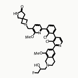 COc1cc(-c2nccc(-c3cccc(-c4ccc(CN5CC6(CNC(=O)C6)C5)c(OC)n4)c3Cl)c2Cl)cc2c1CN(C[C@H](O)CF)CC2